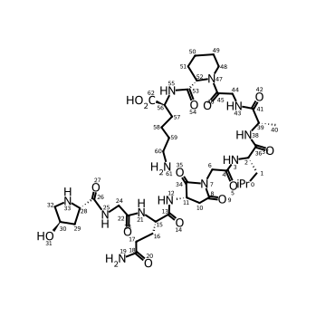 CC(C)C[C@H](NC(=O)CN1C(=O)C[C@H](NC(=O)[C@H](CCC(N)=O)NC(=O)CNC(=O)[C@@H]2C[C@@H](O)CN2)C1=O)C(=O)N[C@@H](C)C(=O)NCC(=O)N1CCCC[C@H]1C(=O)N[C@@H](CCCCN)C(=O)O